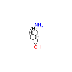 C[C@]12CC[C@H]3[C@@H](CCC4CC(O)C=C[C@@]43C)[C@@H]1CC[C@@H]2N